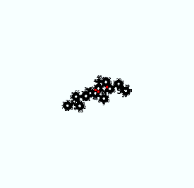 CC1(C)c2ccc(-c3ccccc3N(c3ccc(-c4cccc5c4sc4ccccc45)cc3)c3cccc4c3-c3ccccc3C4(C)C)cc2-c2ccc(-c3cccc4c3c3ccccc3n4-c3ccccc3)cc21